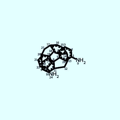 Nc1cccc(-c2cc3ccc2CCc2ccc(c(-c4cccc(N)c4)c2)CC3)c1